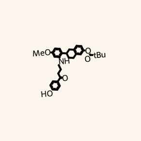 COc1ccc(C2CCc3cc(OC(=O)C(C)(C)C)ccc3C2)c(NCCCC(=O)c2ccc(O)cc2)c1